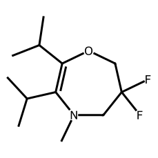 CC(C)C1=C(C(C)C)N(C)CC(F)(F)CO1